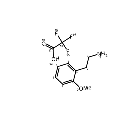 COc1ccccc1CCN.O=C(O)C(F)(F)F